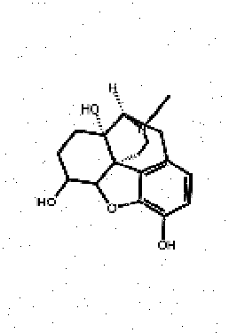 CN1CC[C@]23c4c5ccc(O)c4OC2C(O)CC[C@@]3(O)[C@H]1C5